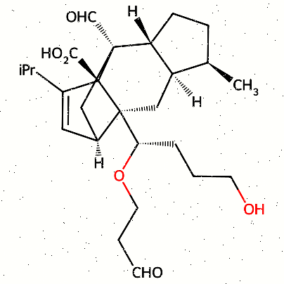 CC(C)C1=C[C@H]2C[C@@]3(C=O)[C@@H]4CC[C@@H](C)[C@H]4C[C@@]2([C@H](CCCO)OCCC=O)[C@]13C(=O)O